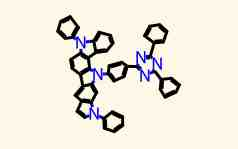 c1ccc(-c2nc(-c3ccccc3)nc(-c3ccc(-n4c5cc6c(ccn6-c6ccccc6)cc5c5ccc6c(c7ccccc7n6-c6ccccc6)c54)cc3)n2)cc1